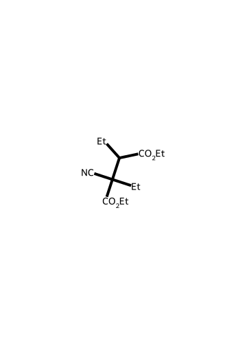 CCOC(=O)C(CC)C(C#N)(CC)C(=O)OCC